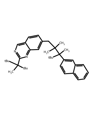 CC(C)(C)C(C)(c1ncc2ccc(CC(C)(C)C(C)(c3ccc4ccccc4c3)C(C)(C)C)cc2n1)C(C)(C)C